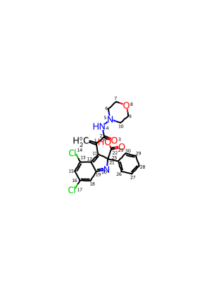 C=C(C(=O)NN1CCOCC1)C1=c2c(Cl)cc(Cl)cc2=NC1(C(=O)O)c1ccccc1